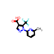 Cc1cccc(-n2ncc(C(=O)O)c2C(F)(F)F)n1